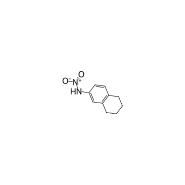 O=[N+]([O-])Nc1ccc2c(c1)CCCC2